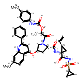 C=C[C@H]1C[C@]1(NC(=O)[C@@H]1CC(Oc2cc(-c3ccccc3)nc3cc(OC)ccc23)CN1C(=O)[C@@H](OC(=O)Nc1ccc(OC)cc1)C(C)(C)C)C(=O)NS(=O)(=O)C1CC1